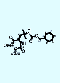 COC(=O)C(=CC(C)(C)NC(=O)OCc1ccccc1)NC(=O)OC(C)(C)C